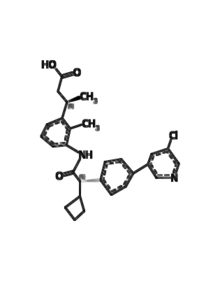 Cc1c(NC(=O)[C@H](c2ccc(-c3cncc(Cl)c3)cc2)C2CCC2)cccc1[C@H](C)CC(=O)O